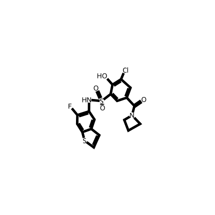 O=C(c1cc(Cl)c(O)c(S(=O)(=O)Nc2cc3ccsc3cc2F)c1)N1CCC1